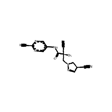 C#C[C@](O)(CN1CC(C#N)C=N1)C(=O)Nc1cnc(C#N)nc1